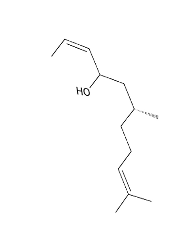 C/C=C\C(O)C[C@H](C)CCC=C(C)C